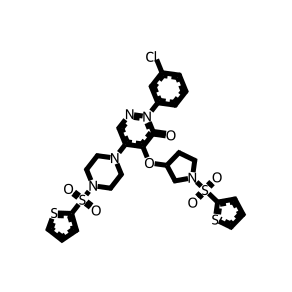 O=c1c(OC2CCN(S(=O)(=O)c3cccs3)C2)c(N2CCN(S(=O)(=O)c3cccs3)CC2)cnn1-c1cccc(Cl)c1